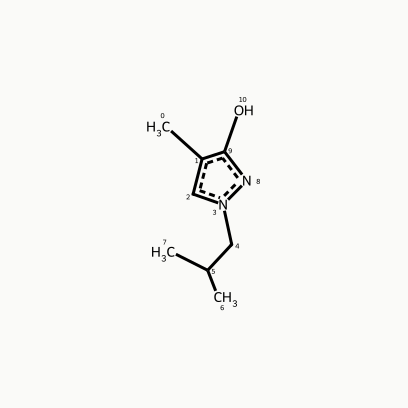 Cc1cn(CC(C)C)nc1O